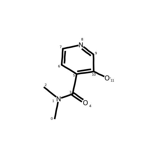 CN(C)C(=O)c1ccncc1[O]